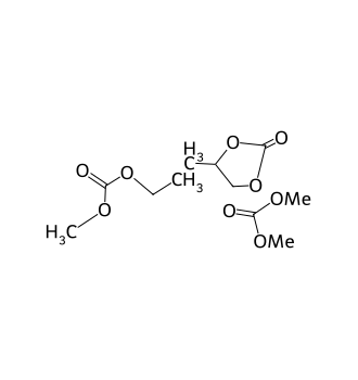 CC1COC(=O)O1.CCOC(=O)OC.COC(=O)OC